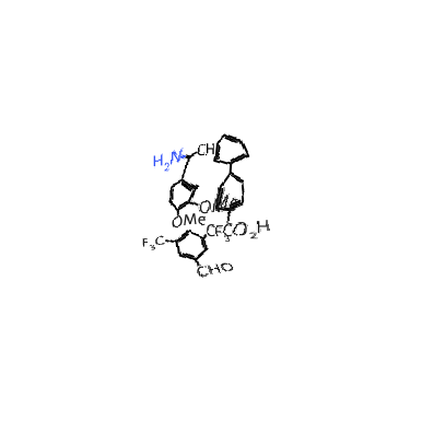 COc1ccc(C(C)N)cc1OC.O=C(O)c1ccc(-c2ccccc2)cc1.O=Cc1cc(C(F)(F)F)cc(C(F)(F)F)c1